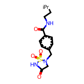 CC(C)CCNC(=O)c1ccc(CN2CC(=O)NS2(=O)=O)cc1